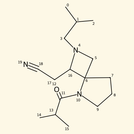 CC(C)CN1CC2(CCCN2C(=O)C(C)C)C1CC#N